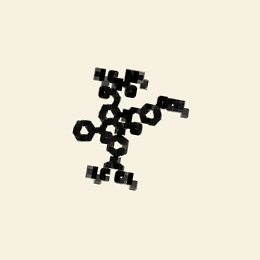 CCN(CC)c1ccc(-n2c(=O)n(Cc3cccc(OC)c3)c3c(CC(=O)N(C)C(N)=O)ccc(C(=O)c4ccccc4)c32)cc1